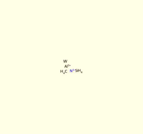 C.[Al+3].[N-3].[SiH4].[W]